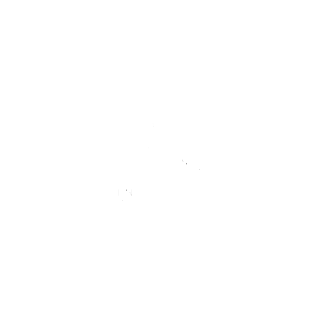 CC(=O)O/C(N)=C(/C)N